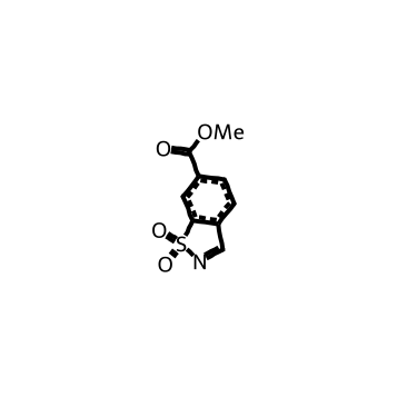 COC(=O)c1ccc2c(c1)S(=O)(=O)N=C2